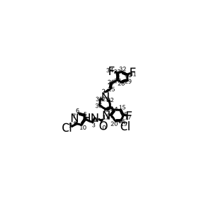 O=C(NCc1ccnc(Cl)c1)n1c2c(c3cc(F)c(Cl)cc31)CN(C/C=C/c1ccc(F)cc1F)CC2